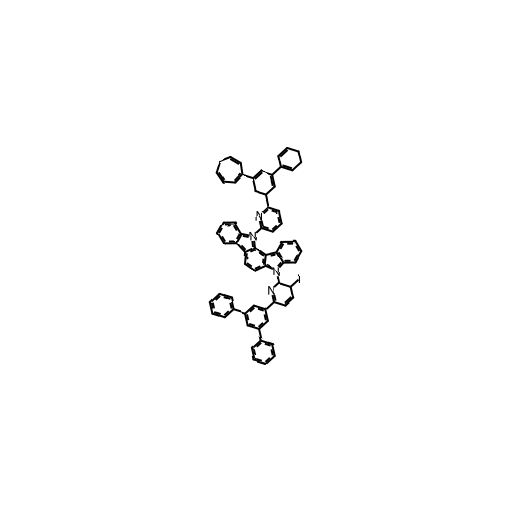 IC1C=CC(c2cc(-c3ccccc3)cc(-c3ccccc3)c2)=NC1n1c2ccccc2c2c3c(ccc21)c1ccccc1n3-c1cccc(C2C=C(C3=CCCC=C3)C=C(C3=CC=CCC=C3)C2)n1